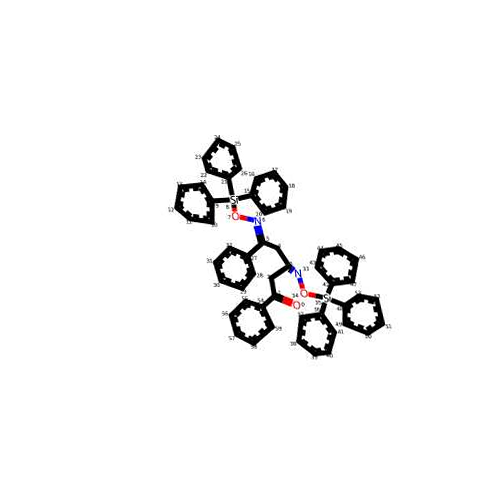 O=C(CC(CC(=NO[Si](c1ccccc1)(c1ccccc1)c1ccccc1)c1ccccc1)=NO[Si](c1ccccc1)(c1ccccc1)c1ccccc1)c1ccccc1